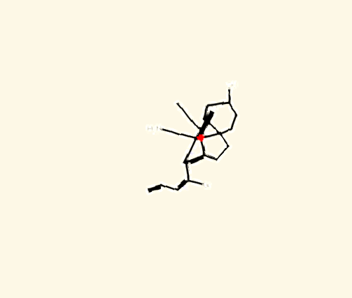 C=C/C=C(Br)\C=C1/CCC2(CCC(O)CC2)C12N=C(N)N(C)C2=O